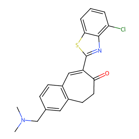 CN(C)Cc1ccc2c(c1)CCC(=O)C(c1nc3c(Cl)cccc3s1)=C2